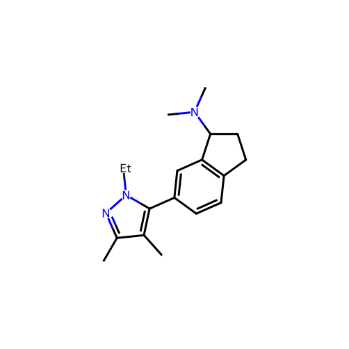 CCn1nc(C)c(C)c1-c1ccc2c(c1)C(N(C)C)CC2